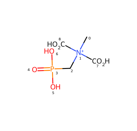 C[N+](CP(=O)(O)O)(C(=O)O)C(=O)O